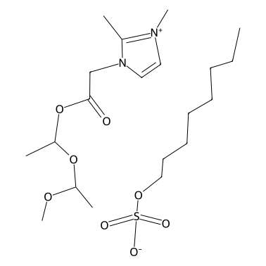 CCCCCCCCOS(=O)(=O)[O-].COC(C)OC(C)OC(=O)Cn1cc[n+](C)c1C